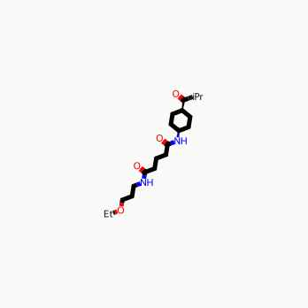 CCOCCCNC(=O)CCCC(=O)N[C@H]1CC[C@@H](C(=O)C(C)C)CC1